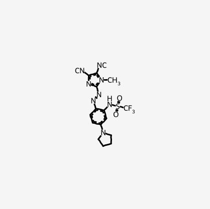 [C-]#[N+]c1nc(/N=N/c2ccc(N3CCCC3)cc2NS(=O)(=O)C(F)(F)F)n(C)c1[N+]#[C-]